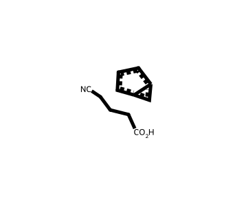 N#CCCCC(=O)O.c1cc2cc-2c1